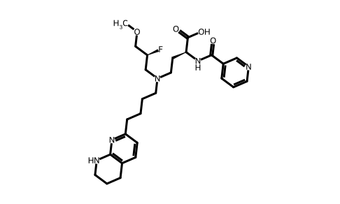 COC[C@@H](F)CN(CCCCc1ccc2c(n1)NCCC2)CC[C@H](NC(=O)c1cccnc1)C(=O)O